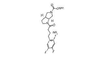 COC(=O)N1C[C@@H]2CCN(C(=O)C[C@H](N)Cc3cc(F)c(F)cc3F)[C@@H]2C1